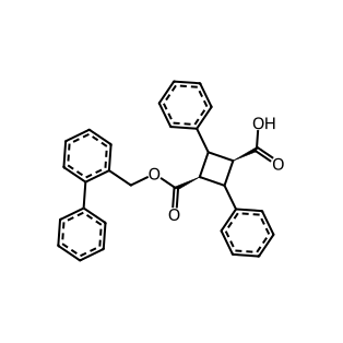 O=C(O)[C@H]1C(c2ccccc2)[C@@H](C(=O)OCc2ccccc2-c2ccccc2)C1c1ccccc1